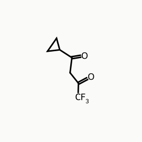 O=C(CC(=O)C(F)(F)F)C1CC1